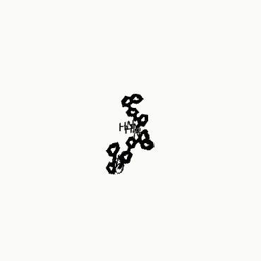 N=C(c1ccc(-c2cccc3ccccc23)cc1)c1ccccc1Nn1c2ccc(-c3ccc4c(c3)N(c3ccccc3)c3ccccc3O4)cc2c2c3ccccc3ccc21